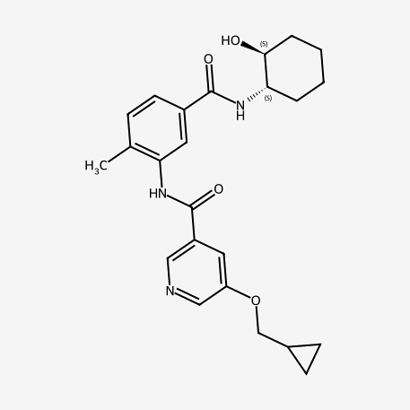 Cc1ccc(C(=O)N[C@H]2CCCC[C@@H]2O)cc1NC(=O)c1cncc(OCC2CC2)c1